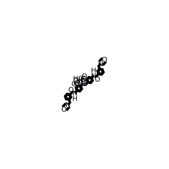 O=C(Nc1ccc(/C=C/c2ccc(NC(=O)c3cccc(CN4CCOCC4)c3)cc2S(=O)(=O)O)c(S(=O)(=O)O)c1)c1cccc(CN2CCOCC2)c1